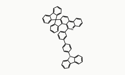 c1cc(-c2ccc(-n3c4ccccc4c4ccccc43)cc2)cc(-c2nc3ccccc3c3ccc4c(c23)-c2ccccc2C42c3ccccc3-c3ccccc32)c1